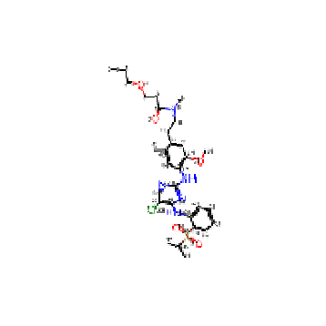 CCCOCCC(=O)N(C)CCc1cc(OC)c(Nc2ncc(Cl)c(Nc3ccccc3S(=O)(=O)C(C)C)n2)cc1C